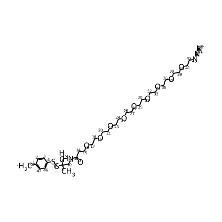 [CH2]c1ccc(SSC(C)(C)CNC(=O)CCOCCOCCOCCOCCOCCOCCOCCOCCOCCN=[N+]=[N-])cc1